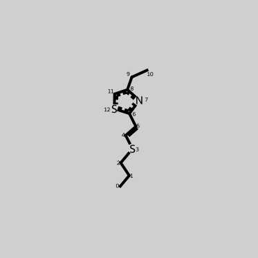 CCCSC=Cc1nc(CC)cs1